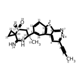 CC#Cc1cc2c(nn1)sc1ccc([C@]3(C)CS(=O)(=O)C4(CC4)C(=N)N3)cc12